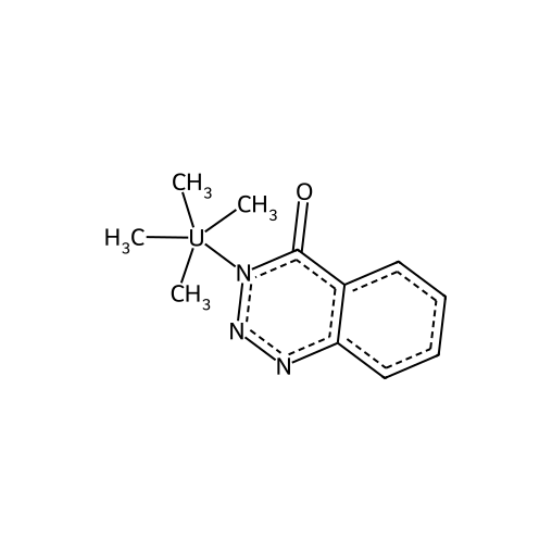 [CH3][U]([CH3])([CH3])([CH3])[n]1nnc2ccccc2c1=O